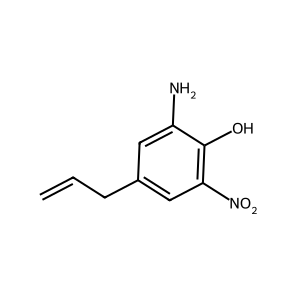 C=CCc1cc(N)c(O)c([N+](=O)[O-])c1